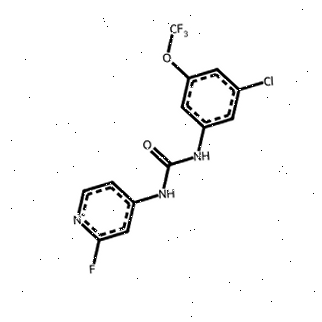 O=C(Nc1cc(Cl)cc(OC(F)(F)F)c1)Nc1ccnc(F)c1